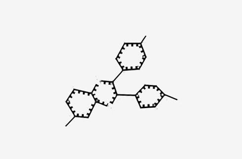 Cc1ccc(-c2nc3ccc(F)cc3nc2-c2ccc(C)cc2)cc1